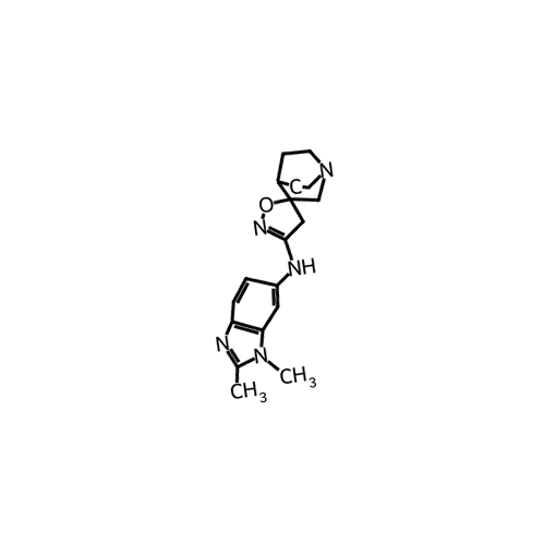 Cc1nc2ccc(NC3=NOC4(C3)CN3CCC4CC3)cc2n1C